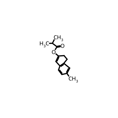 Cc1ccc2c(c1)CCC(OC(=O)C(C)C)=C2